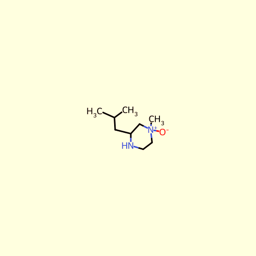 CC(C)CC1C[N+](C)([O-])CCN1